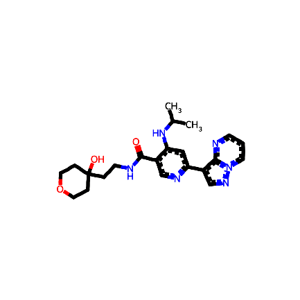 CC(C)Nc1cc(-c2cnn3cccnc23)ncc1C(=O)NCCC1(O)CCOCC1